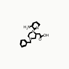 Nc1cccnc1N1CCN(Cc2ccccc2)CC1CC(=O)O